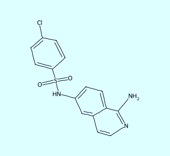 Nc1nccc2cc(NS(=O)(=O)c3ccc(Cl)cc3)ccc12